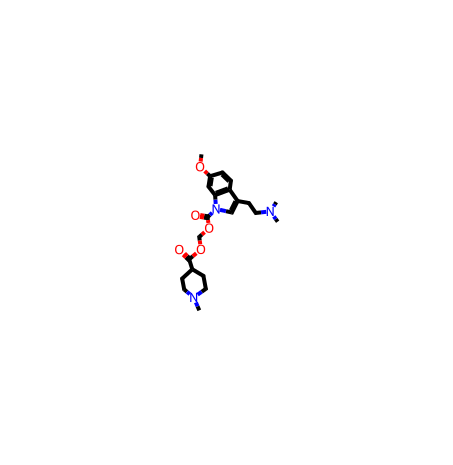 COc1ccc2c(CCN(C)C)cn(C(=O)OCOC(=O)C3CCN(C)CC3)c2c1